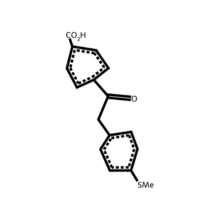 CSc1ccc(CC(=O)c2ccc(C(=O)O)cc2)cc1